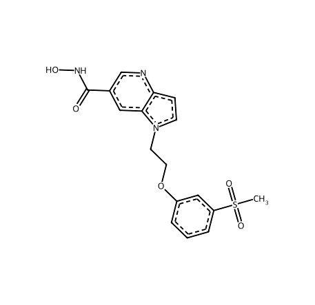 CS(=O)(=O)c1cccc(OCCn2ccc3ncc(C(=O)NO)cc32)c1